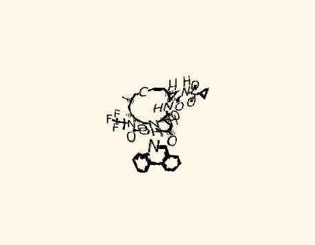 C[C@H]1CCC=C[C@@H]2C[C@@]2(C(=O)NS(=O)(=O)C2CC2)NC(=O)[C@@H]2C[C@@H](Oc3nc4ccccc4c4ccccc34)CN2C(=O)[C@@H](N(C(=O)O)C(C)(C)C(F)(F)F)[C@H](C)C1